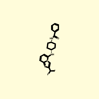 O=C(N[C@H]1CC[C@@H](Nc2cccc3nc(C(F)F)cn23)CC1)c1ccccc1